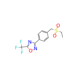 CCS(=O)(=O)Cc1ccc(-c2noc(C(F)(F)F)n2)cc1